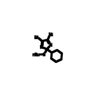 CCCCSC1(C2CCCCC2)N=C(CC)C(CC)=N1